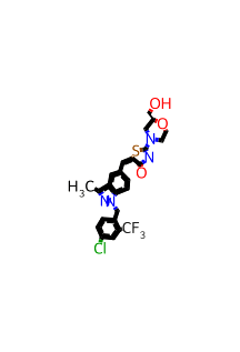 Cc1nn(Cc2ccc(Cl)cc2C(F)(F)F)c2ccc(C=C3SC(N4CCO[C@H](CO)C4)=NC3=O)cc12